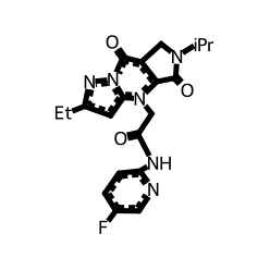 CCc1cc2n(CC(=O)Nc3ccc(F)cn3)c3c(c(=O)n2n1)CN(C(C)C)C3=O